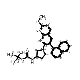 CSc1ncc2cc(-c3cccc4ccccc34)c(N3CCC(NC(=O)OC(C)(C)C)C3)nc2n1